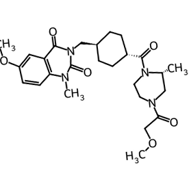 COCC(=O)N1CCN(C(=O)[C@H]2CC[C@H](Cn3c(=O)c4cc(OC)ccc4n(C)c3=O)CC2)[C@H](C)C1